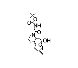 C=C(I)/C=C\C=C1/CCCN(C(=O)CNC(=O)OC(C)(C)C)C1CC(=O)O